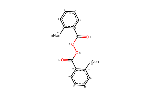 CCCCCCCCCc1ccccc1C(=O)OOC(=O)c1ccccc1CCCCCCCCC